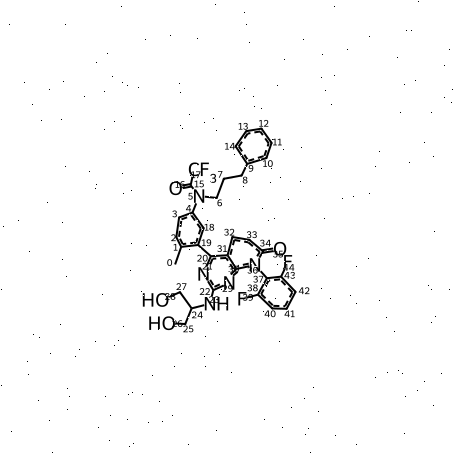 Cc1ccc(N(CCCc2ccccc2)C(=O)C(F)(F)F)cc1-c1nc(NC(CO)CO)nc2c1ccc(=O)n2-c1c(F)cccc1F